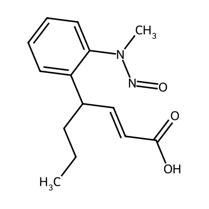 CCCC(C=CC(=O)O)c1ccccc1N(C)N=O